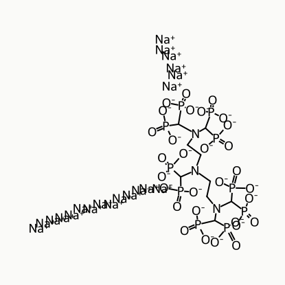 O=P([O-])([O-])C(N(CCN(C(P(=O)([O-])[O-])P(=O)([O-])[O-])C(P(=O)([O-])[O-])P(=O)([O-])[O-])CCN(C(P(=O)([O-])[O-])P(=O)([O-])[O-])C(P(=O)([O-])[O-])P(=O)([O-])[O-])P(=O)([O-])[O-].[Na+].[Na+].[Na+].[Na+].[Na+].[Na+].[Na+].[Na+].[Na+].[Na+].[Na+].[Na+].[Na+].[Na+].[Na+].[Na+].[Na+].[Na+].[Na+].[Na+]